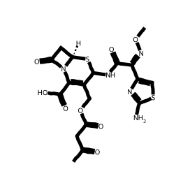 CO/N=C(\C(=O)NC1S[C@@H]2CC(=O)N2C(C(=O)O)=C1COC(=O)CC(C)=O)c1csc(N)n1